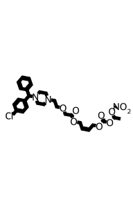 CC(OC(=O)OC/C=C\COC(=O)COCCN1CCN(C(c2ccccc2)c2ccc(Cl)cc2)CC1)O[N+](=O)[O-]